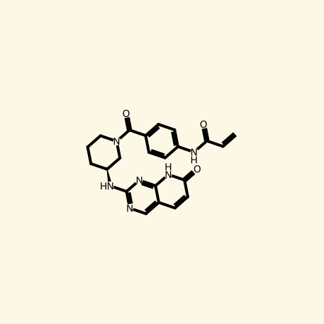 C=CC(=O)Nc1ccc(C(=O)N2CCC[C@H](Nc3ncc4ccc(=O)[nH]c4n3)C2)cc1